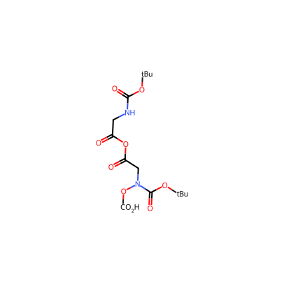 CC(C)(C)OC(=O)NCC(=O)OC(=O)CN(OC(=O)O)C(=O)OC(C)(C)C